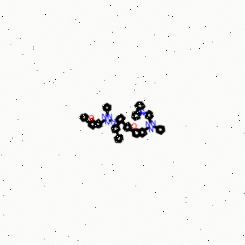 c1ccc(-c2ccc3c(c2)c2c(-c4ccc5c(c4)oc4c6cc(-c7nc(-c8ccccc8)nc(-c8cccc(-n9c%10ccccc%10c%10ccccc%109)c8)n7)ccc6ccc54)cccc2n3-c2nc(-c3ccccc3)nc(-c3ccc4ccc5c6ccccc6oc5c4c3)n2)cc1